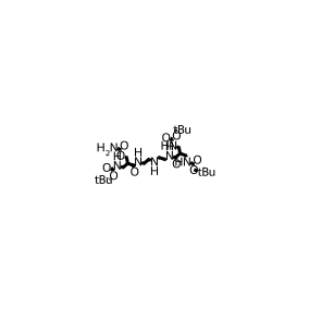 CC(C)(C)OC(=O)NCC(CNC(=O)OC(C)(C)C)C(=O)NCCNCCNC(=O)C(CNC(=O)OC(C)(C)C)COC(N)=O